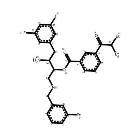 CCc1cccc(CNCC(OC(=O)c2cccc(C(=O)C(CC)CC)c2)C(N)Cc2cc(F)cc(F)c2)c1